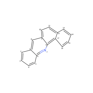 [c]1c2ccccc2nc2c1ccc1ccccc12